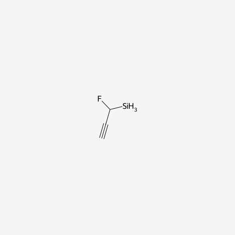 C#CC(F)[SiH3]